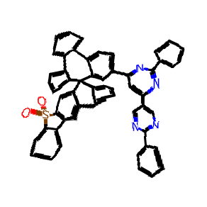 O=S1(=O)c2ccccc2-c2cc3c(cc21)C1(c2ccccc2-c2ccccc2-c2ccc(-c4cc(-c5cnc(-c6ccccc6)nc5)nc(-c5ccccc5)n4)cc21)c1ccccc1-3